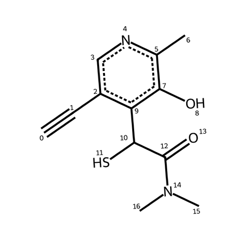 C#Cc1cnc(C)c(O)c1C(S)C(=O)N(C)C